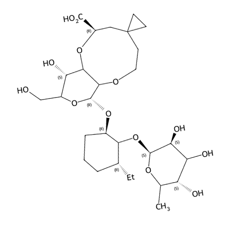 CC[C@@H]1CCC[C@@H](O[C@@H]2OC(CO)[C@H](O)C3O[C@@H](C(=O)O)CC4(CCOC32)CC4)C1O[C@@H]1OC(C)[C@@H](O)C(O)[C@@H]1O